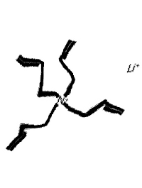 C=CC[N+](CC=C)(CC=C)CC=C.[Li+]